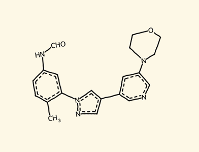 Cc1ccc(NC=O)cc1-n1cc(-c2cncc(N3CCOCC3)c2)cn1